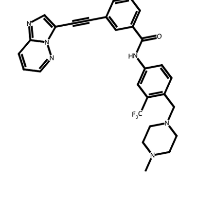 CN1CCN(Cc2ccc(NC(=O)c3cccc(C#Cc4cnc5cccnn45)c3)cc2C(F)(F)F)CC1